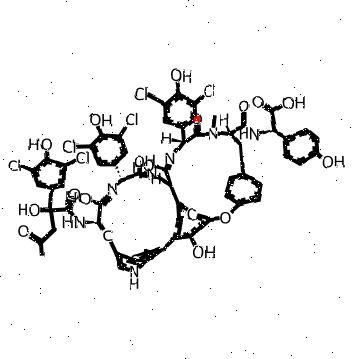 CC(=O)CC(O)(C(=O)N[C@@H]1Cc2c[nH]c3c(cccc23)-c2cc3cc(c2O)Oc2ccc(cc2)C[C@@H](C(=O)N[C@@H](C(=O)O)c2ccc(O)cc2)N(C)C(=O)[C@@H](c2cc(Cl)c(O)c(Cl)c2)N=C(O)[C@@H]3N=C(O)[C@@H](c2cc(Cl)c(O)c(Cl)c2)N=C1O)c1cc(Cl)c(O)c(Cl)c1